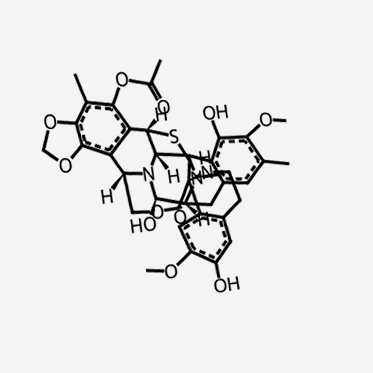 COc1cc2c(cc1O)CCN[C@@]21CS[C@H]2c3c(OC(C)=O)c(C)c4c(c3[C@@H](COC1=O)N1[C@H](O)[C@H]3Cc5cc(C)c(OC)c(O)c5C([C@@H]21)N3C)OCO4